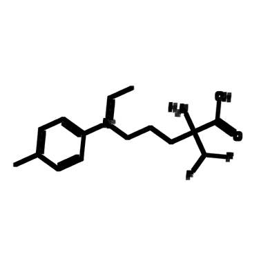 CC=[N+](CCCC(N)(C(=O)O)C(F)F)c1ccc(C)cc1